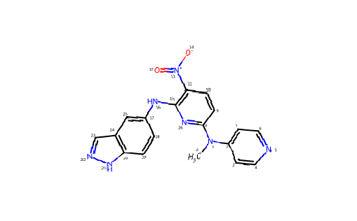 CN(c1ccncc1)c1ccc([N+](=O)[O-])c(Nc2ccc3[nH]ncc3c2)n1